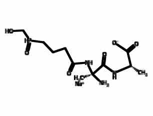 C[C@H](NC(=O)[C@@](C)(N)NC(=O)CCC[PH](=O)CO)C(=O)[O-].[Na+]